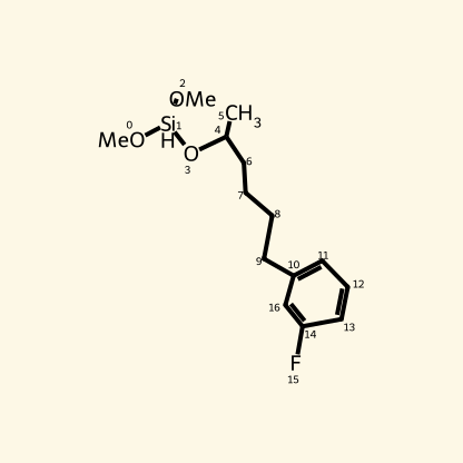 CO[SiH](OC)OC(C)CCCCc1cccc(F)c1